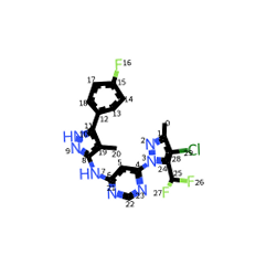 Cc1nn(-c2cc(Nc3n[nH]c(-c4ccc(F)cc4)c3C)ncn2)c(C(F)F)c1Cl